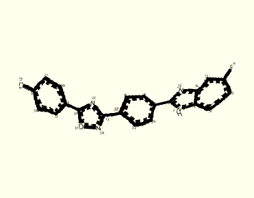 Fc1ccc2[nH]c(-c3ccc(-c4noc(-c5ccc(Cl)cc5)n4)cc3)nc2c1